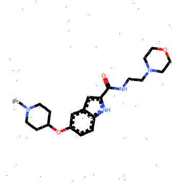 CC(C)N1CCC(Oc2ccc3[nH]c(C(=O)NCCN4CCOCC4)cc3c2)CC1